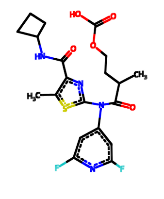 Cc1sc(N(C(=O)C(C)CCOC(=O)O)c2cc(F)nc(F)c2)nc1C(=O)NC1CCC1